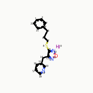 I.c1ccc(CCCSc2nonc2Cc2cccnc2)cc1